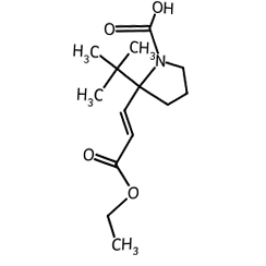 CCOC(=O)C=CC1(C(C)(C)C)CCCN1C(=O)O